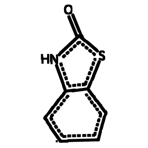 O=c1[nH]c2c[c]ccc2s1